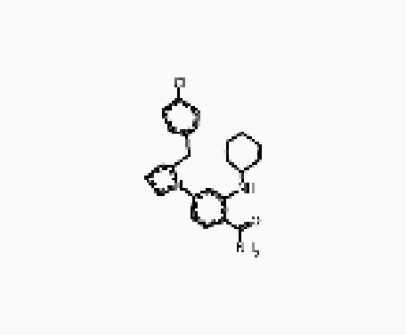 NC(=O)c1ccc(-n2cccc2Cc2ccc(Cl)cc2)cc1NC1CCCCC1